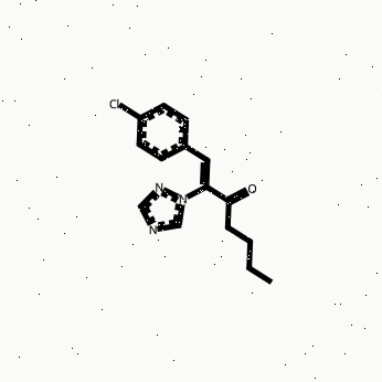 CCCCC(=O)C(=Cc1ccc(Cl)cc1)n1cncn1